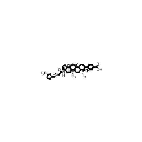 C[C@H]1CCC(CNCC(=O)N[C@]23CCC[C@@H]2[C@H]2CCC4[C@@]5(C)CC=C(c6ccc(C(=O)O)cc6)C(C)(C)C5CC[C@@]4(C)[C@]2(C)CC3)C1